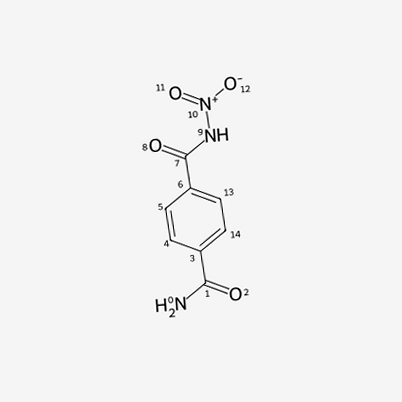 NC(=O)c1ccc(C(=O)N[N+](=O)[O-])cc1